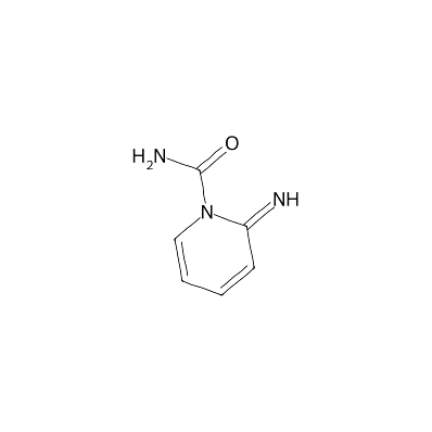 N=c1ccccn1C(N)=O